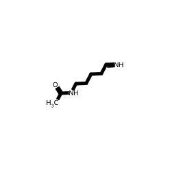 CC(=O)NCCCCC=N